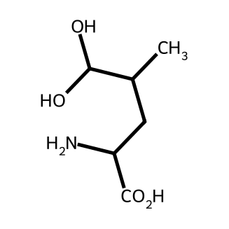 CC(CC(N)C(=O)O)C(O)O